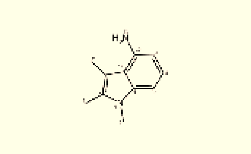 Cc1c(C)n(C)c2cccc(N)c12